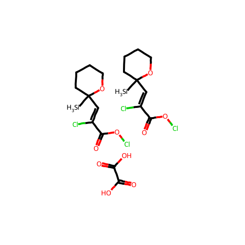 O=C(O)C(=O)O.O=C(OCl)C(Cl)=CC1([SiH3])CCCCO1.O=C(OCl)C(Cl)=CC1([SiH3])CCCCO1